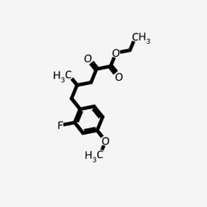 CCOC(=O)C(=O)CC(C)Cc1ccc(OC)cc1F